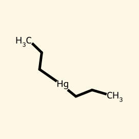 CC[CH2][Hg][CH2]CC